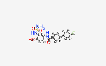 NS(=O)(=O)Nc1cc(NC(=O)c2ccc(-c3ccc(F)cc3)cc2)ccc1O